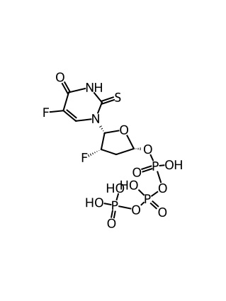 O=c1[nH]c(=S)n([C@@H]2O[C@H](OP(=O)(O)OP(=O)(O)OP(=O)(O)O)C[C@@H]2F)cc1F